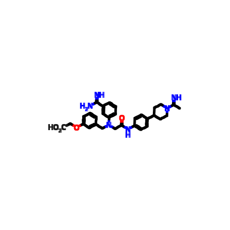 CC(=N)N1CCC(c2ccc(NC(=O)CN(Cc3cccc(OCC(=O)O)c3)c3cccc(C(=N)N)c3)cc2)CC1